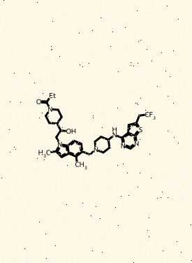 CCC(=O)N1CCC(C(O)Cn2c(C)cc3c(C)c(CN4CCC(Nc5ncnc6sc(CC(F)(F)F)cc56)CC4)ccc32)CC1